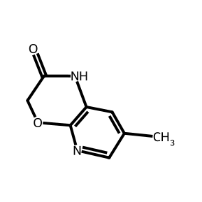 Cc1cnc2c(c1)NC(=O)CO2